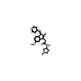 COc1ccc2c(c1)C(CC(=O)NC1CCN(C)C1)=C(C)/C2=C/c1ccncc1